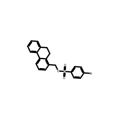 O=S(=O)(OCc1cccc2c1CCc1ccccc1-2)c1ccc(Br)cc1